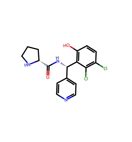 O=C(N[C@@H](c1ccncc1)c1c(O)ccc(Cl)c1Cl)[C@H]1CCCN1